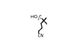 CC(C)(CCCC#N)C(=O)O